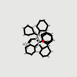 C=[CH][Pd]([PH](C1CCCCC1)(C1CCCCC1)C1CCCCC1)[PH](C1CCCCC1)(C1CCCCC1)C1CCCCC1